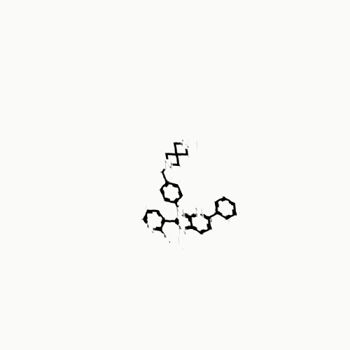 Nc1ncccc1-c1nc2ccc(-c3ccccc3)nc2n1-c1ccc(CN2CC3(CNC3)C2)cc1